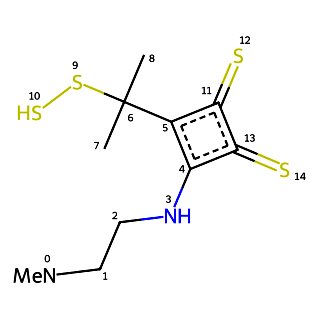 CNCCNc1c(C(C)(C)SS)c(=S)c1=S